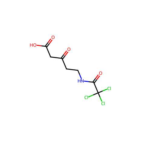 O=C(O)CC(=O)CCNC(=O)C(Cl)(Cl)Cl